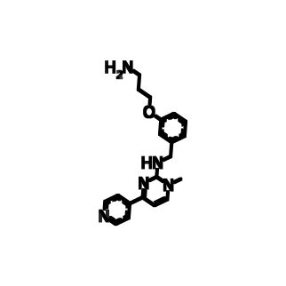 CN1C=CC(c2ccncc2)=NC1NCc1cccc(OCCCN)c1